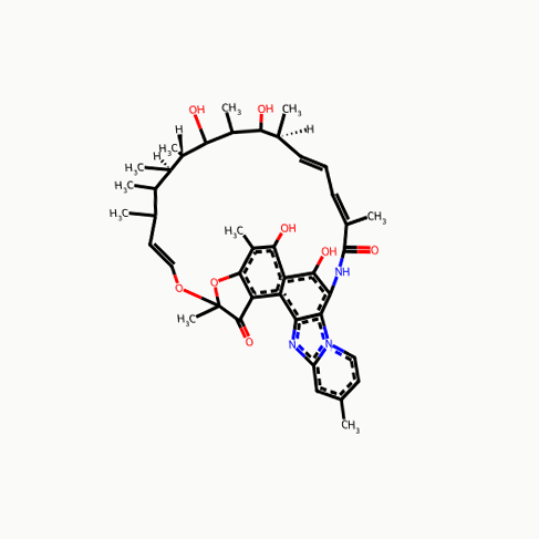 C/C1=C\C=C\[C@H](C)C(O)C(C)C(O)[C@@H](C)[C@H](C)C(C)C(C)/C=C/OC2(C)Oc3c(C)c(O)c4c(O)c(c5c(nc6cc(C)ccn65)c4c3C2=O)NC1=O